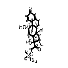 C[C@@H]1C[C@H]2[C@@H]3CCC4=CC(=O)C=C[C@]4(C)[C@@]3(F)[C@@H](O)C[C@]2(C)[C@@]1(O)C(=O)CO[Si](C)(C)C(C)(C)C